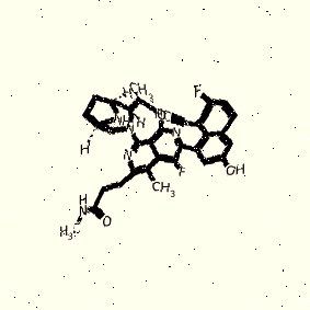 C#Cc1c(F)ccc2cc(O)cc(-c3nc4c5c(nc(CCC(=O)NC)c(C)c5c3F)N3C[C@H]5CC[C@H](N5)[C@H]3[C@H](C)O4)c12